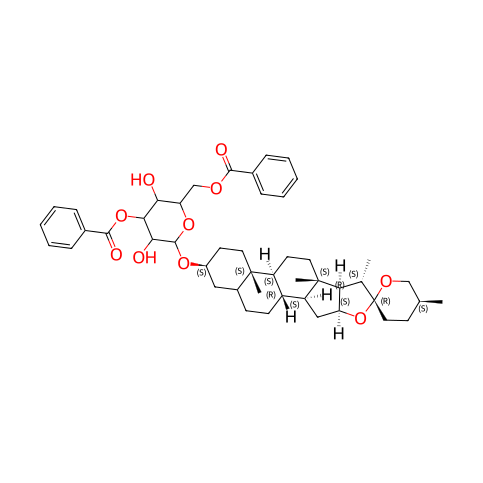 C[C@H]1CC[C@@]2(OC1)O[C@H]1C[C@H]3[C@@H]4CCC5C[C@@H](OC6OC(COC(=O)c7ccccc7)C(O)C(OC(=O)c7ccccc7)C6O)CC[C@]5(C)[C@H]4CC[C@]3(C)[C@H]1[C@@H]2C